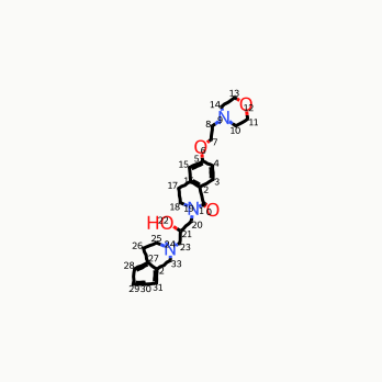 O=C1c2ccc(OCCN3CCOCC3)cc2CCN1CC(O)CN1CCc2ccccc2C1